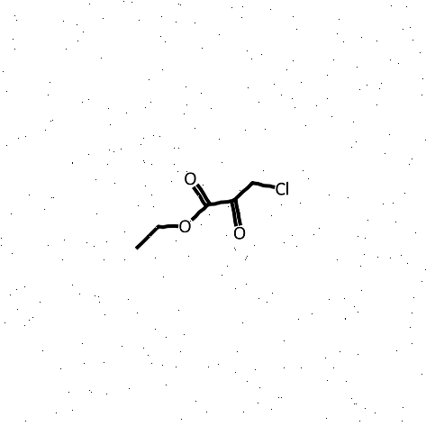 CCOC(=O)C(=O)CCl